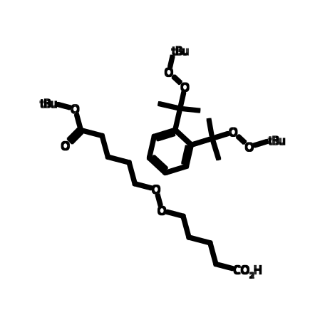 CC(C)(C)OC(=O)CCCCOOCCCCC(=O)O.CC(C)(C)OOC(C)(C)c1ccccc1C(C)(C)OOC(C)(C)C